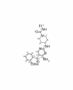 CCNC(=O)N1CCC(Nc2ncc(C(=O)c3ccccc3OC)c(N)n2)CC1